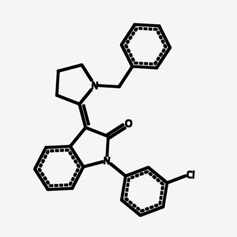 O=C1C(=C2CCCN2Cc2ccccc2)c2ccccc2N1c1cccc(Cl)c1